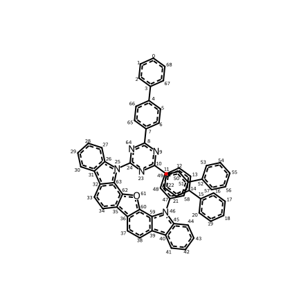 c1ccc(-c2ccc(-c3nc(-c4ccc(-c5ccccc5)cc4)nc(-n4c5ccccc5c5ccc6c7ccc8c9ccccc9n(-c9cccc(-c%10ccccc%10)c9)c8c7oc6c54)n3)cc2)cc1